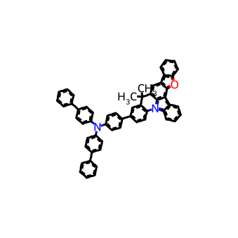 CC1(C)c2cc(-c3ccc(N(c4ccc(-c5ccccc5)cc4)c4ccc(-c5ccccc5)cc4)cc3)ccc2-n2c3ccccc3c3c4oc5ccccc5c4cc1c32